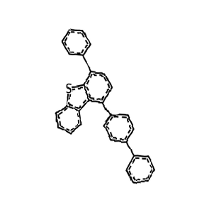 c1ccc(-c2ccc(-c3ccc(-c4ccccc4)c4sc5ccccc5c34)cc2)cc1